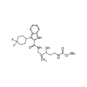 C[C@@H](CNC(=O)c1[nH]c2ccccc2c1C1CCC(F)(F)CC1)C(O)CCNC(=O)OC(C)(C)C